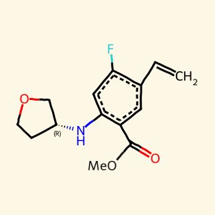 C=Cc1cc(C(=O)OC)c(N[C@@H]2CCOC2)cc1F